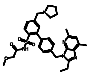 CCc1nc2c(C)cc(C)nc2n1Cc1ccc(-c2cc(CN3CCCC3)ccc2S(=O)(=O)NC(=O)COC)cc1